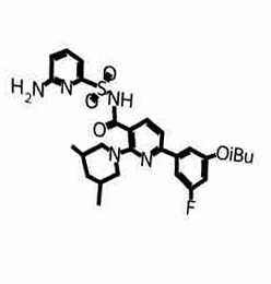 CC(C)COc1cc(F)cc(-c2ccc(C(=O)NS(=O)(=O)c3cccc(N)n3)c(N3CC(C)CC(C)C3)n2)c1